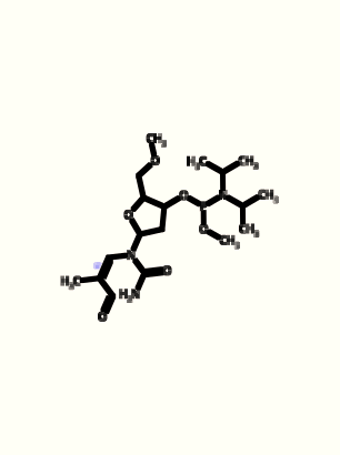 COCC1OC(N(/C=C(/C)C=O)C(N)=O)CC1OP(OC)N(C(C)C)C(C)C